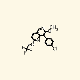 COc1ncc2ccc(OCC(F)(F)F)nc2c1-c1ccc(Cl)cc1